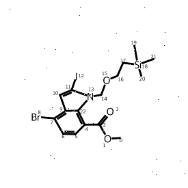 COC(=O)c1ccc(Br)c2cc(I)n(COCC[Si](C)(C)C)c12